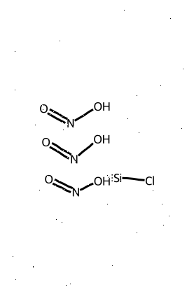 O=NO.O=NO.O=NO.[Si]Cl